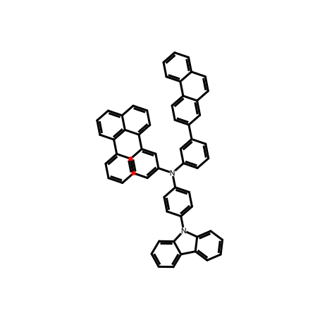 c1ccc(-c2cccc3cccc(-c4cccc(N(c5ccc(-n6c7ccccc7c7ccccc76)cc5)c5cccc(-c6ccc7c(ccc8ccccc87)c6)c5)c4)c23)cc1